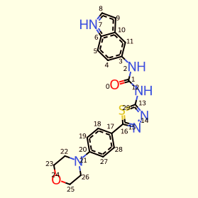 O=C(Nc1ccc2[nH]ccc2c1)Nc1nnc(-c2ccc(N3CCOCC3)cc2)s1